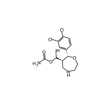 CC(C)C(OC(N)=O)[C@@H]1CNCCO[C@H]1c1ccc(Cl)c(Cl)c1